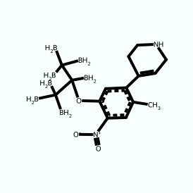 BC(B)(B)C(B)(Oc1cc(C2=CCNCC2)c(C)cc1[N+](=O)[O-])C(B)(B)B